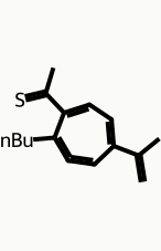 C=C(C)C1=CC=C(C(C)=S)C(CCCC)=C=C1